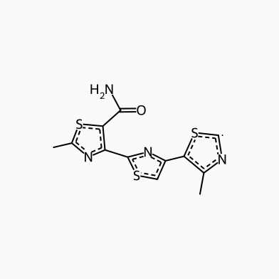 Cc1nc(-c2nc(-c3s[c]nc3C)cs2)c(C(N)=O)s1